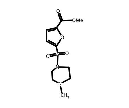 COC(=O)c1ccc(S(=O)(=O)N2CCN(C)CC2)o1